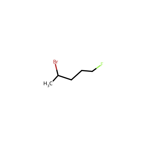 CC(Br)CCCF